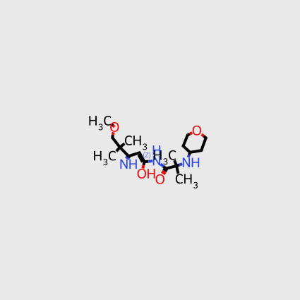 COCC(C)(C)C(=N)/C=C(\O)NC(=O)C(C)(C)NC1CCOCC1